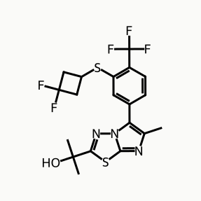 Cc1nc2sc(C(C)(C)O)nn2c1-c1ccc(C(F)(F)F)c(SC2CC(F)(F)C2)c1